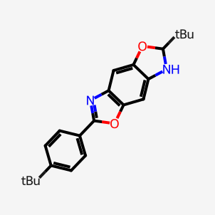 CC(C)(C)c1ccc(-c2nc3cc4c(cc3o2)NC(C(C)(C)C)O4)cc1